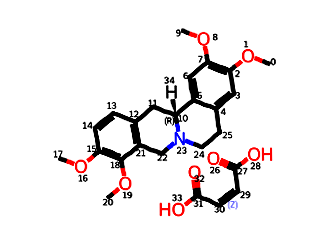 COc1cc2c(cc1OC)[C@H]1Cc3ccc(OC)c(OC)c3CN1CC2.O=C(O)/C=C\C(=O)O